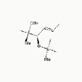 C/C=C/[C@@H](O[Si](C)(C)C(C)(C)C)[C@@](C)(CCCC)OC